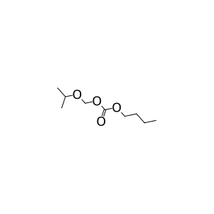 CCCCOC(=O)OCOC(C)C